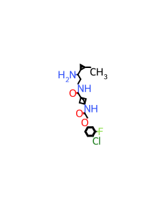 CCC1=C=C1C(N)CCNC(=O)C12CC(NC(=O)COc3ccc(Cl)c(F)c3)(C1)C2